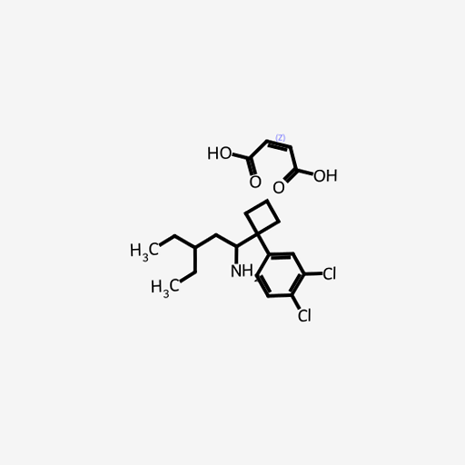 CCC(CC)CC(N)C1(c2ccc(Cl)c(Cl)c2)CCC1.O=C(O)/C=C\C(=O)O